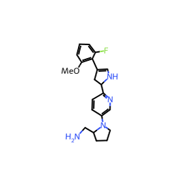 COc1cccc(F)c1C1=CNC(c2ccc(N3CCCC3CN)cn2)C1